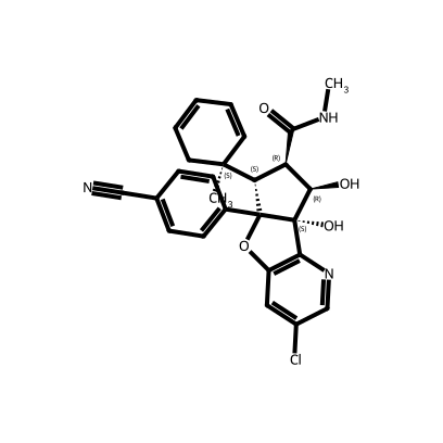 CNC(=O)[C@@H]1[C@@H]([C@]2(C)C=CC=CC2)C2(c3ccc(C#N)cc3)Oc3cc(Cl)cnc3[C@]2(O)[C@@H]1O